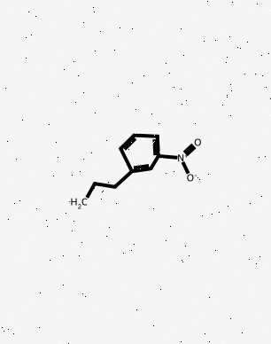 [CH2]CCc1cccc([N+](=O)[O-])c1